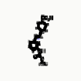 CC(C)(C)OC(=O)Nc1cccc(/C=C/C2CCN(C(=O)O)CC2)n1